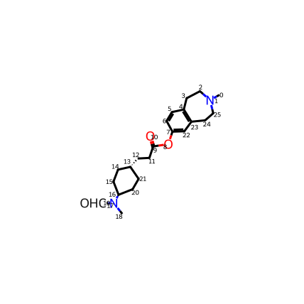 CN1CCc2ccc(OC(=O)CC[C@H]3CC[C@H](N(C)C=O)CC3)cc2CC1